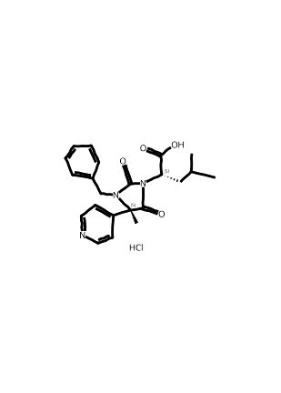 CC(C)C[C@@H](C(=O)O)N1C(=O)N(Cc2ccccc2)[C@@](C)(c2ccncc2)C1=O.Cl